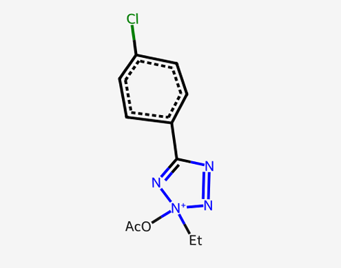 CC[N+]1(OC(C)=O)N=NC(c2ccc(Cl)cc2)=N1